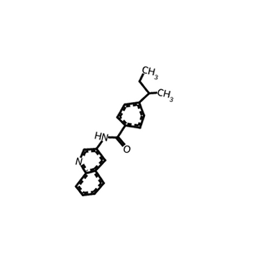 CCC(C)c1ccc(C(=O)Nc2cnc3ccccc3c2)cc1